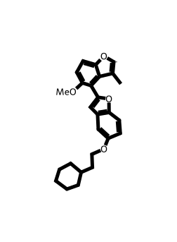 COc1ccc2o[c]c(C)c2c1-c1cc2cc(OCCC3CCCCC3)ccc2o1